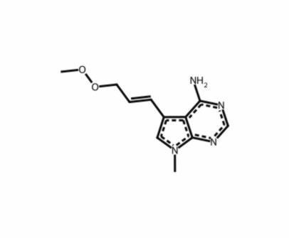 COOC/C=C/c1cn(C)c2ncnc(N)c12